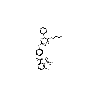 CCCCOC(=O)C(OC(=O)Cc1ccc(S(=O)(=O)c2cccc([S])c2[N+](=O)[O-])cc1)c1ccccc1